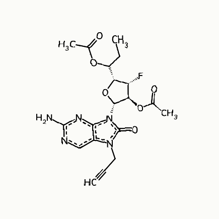 C#CCn1c(=O)n([C@@H]2O[C@H](C(CC)OC(C)=O)[C@H](F)[C@H]2OC(C)=O)c2nc(N)ncc21